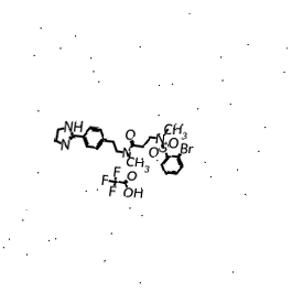 CN(CCc1ccc(C2=NCCN2)cc1)C(=O)CCN(C)S(=O)(=O)c1ccccc1Br.O=C(O)C(F)(F)F